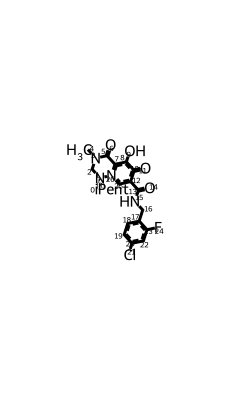 CCC[C@@H](C)N1CN(C)C(=O)c2c(O)c(=O)c(C(=O)NCc3ccc(Cl)cc3F)cn21